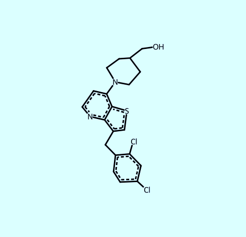 OCC1CCN(c2ccnc3c(Cc4ccc(Cl)cc4Cl)csc23)CC1